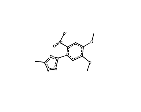 COc1cc(-c2nnc(C)o2)c([N+](=O)[O-])cc1OC